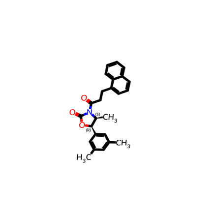 Cc1cc(C)cc([C@H]2OC(=O)N(C(=O)CCc3cccc4ccccc34)[C@H]2C)c1